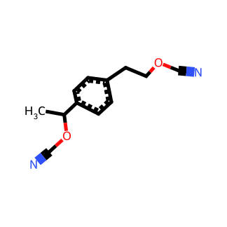 CC(OC#N)c1ccc(CCOC#N)cc1